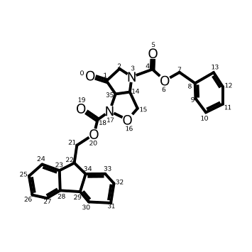 O=C1CN(C(=O)OCc2ccccc2)C2CON(C(=O)OCC3c4ccccc4-c4ccccc43)C12